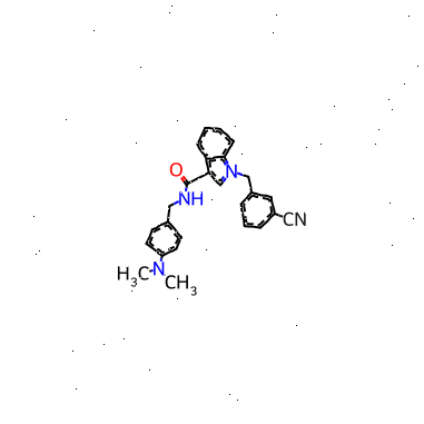 CN(C)c1ccc(CNC(=O)c2cn(Cc3cccc(C#N)c3)c3ccccc23)cc1